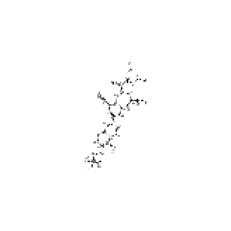 CCCN(CCC)C(=O)C1=Cc2c(C#N)cc(-c3ccc4c(=O)n(CCS(C)(=O)=O)ccc4c3)cc2N=C(N)C1